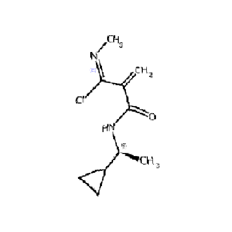 C=C(C(=O)N[C@@H](C)C1CC1)/C(Cl)=N\C